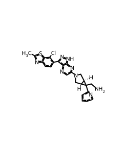 Cc1nc2ccc(-c3n[nH]c4nc(N5C[C@@H]6[C@H](C5)C6(CN)c5ccccn5)cnc34)c(Cl)c2s1